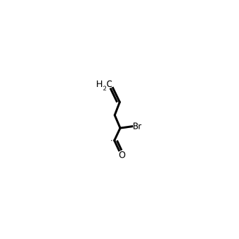 C=CCC(Br)[C]=O